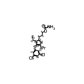 CC(C)c1nc(CCCOC(N)=O)n(CF)c1Sc1cc(Cl)cc(Cl)c1